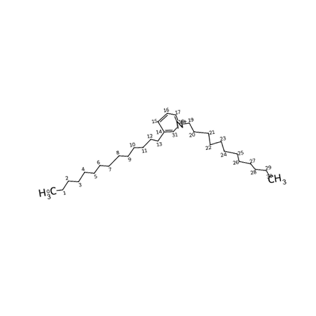 CCCCCCCCCCCCCCc1ccc[n+](CCCCCCCCCCCC)c1